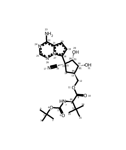 CC(C)(C)OC(=O)N[C@@H](C(=O)OC[C@H]1C[C@@](C#N)(c2ccc3c(N)ncnn23)[C@H](O)[C@@H]1O)C(C)(C)C